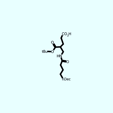 CCCCCCCCCCCCCC(=O)NCC(CCC(=O)O)C(=O)OC(C)(C)C